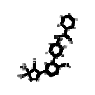 Cc1ccc(C2=NOC(C)(C)C2=O)cc1-c1cnc(NC(=O)C2CC=CC=N2)cn1